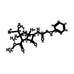 COC(=O)C1N2C(=O)C(NC(=O)COc3ccccc3)[C@H]2SC1(C)C(C)Br